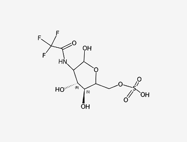 O=C(NC1C(O)OC(COS(=O)(=O)O)[C@@H](O)[C@@H]1O)C(F)(F)F